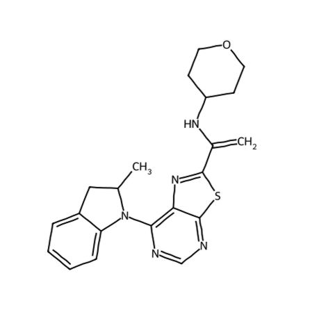 C=C(NC1CCOCC1)c1nc2c(N3c4ccccc4CC3C)ncnc2s1